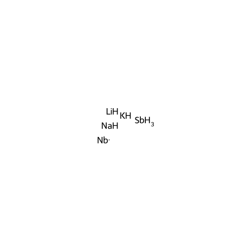 [KH].[LiH].[NaH].[Nb].[SbH3]